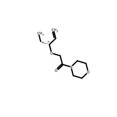 C=C[C@@H](CC)OCC(=O)N1CCOCC1